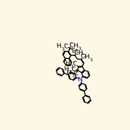 C=C(C/C(C)=C\C1=C(C)C(C)(C)c2c1cccc2N(c1ccc(-c2ccccc2)cc1)c1ccc(-c2ccccc2)cc1)c1c(C(C)(C)CC)ccc2ccccc12